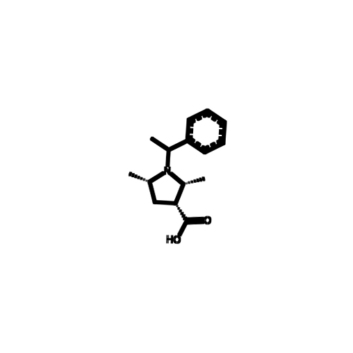 CC(c1ccccc1)N1[C@H](C)[C@H](C(=O)O)C[C@@H]1C